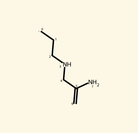 [CH2]CCNCC(=C)N